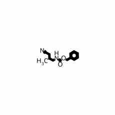 C[C@H](CC#N)CNC(=O)OCc1ccccc1